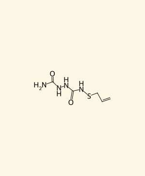 C=CCSNC(=O)NNC(N)=O